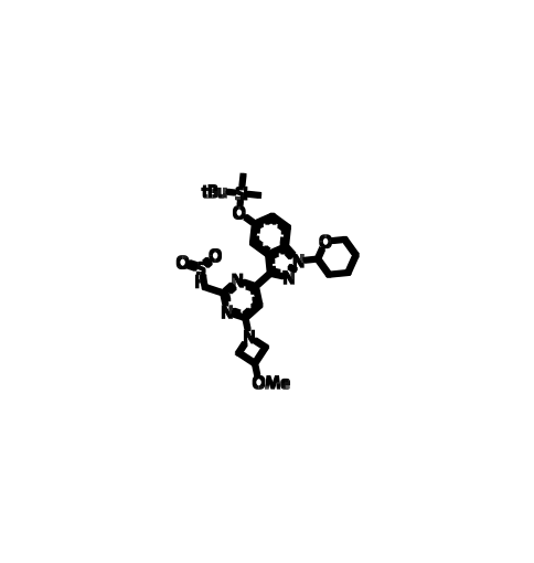 COC1CN(c2cc(-c3nn(C4CCCCO4)c4ccc(O[Si](C)(C)C(C)(C)C)cc34)nc(C[SH](=O)=O)n2)C1